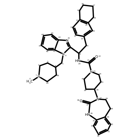 CN1CCC(Cn2c(C(Cc3ccc4c(c3)CCCC4)NC(=O)N3CCC(N4CCc5ccccc5NC4=O)CC3)nc3ccccc32)CC1